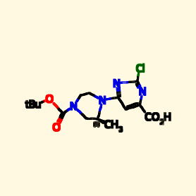 C[C@H]1CN(C(=O)OC(C)(C)C)CCN1c1cc(C(=O)O)nc(Cl)n1